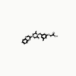 Cc1cc(CN2C(C)CN(c3cnc4ccccc4n3)CC2C)cc(OCC(=O)O)c1